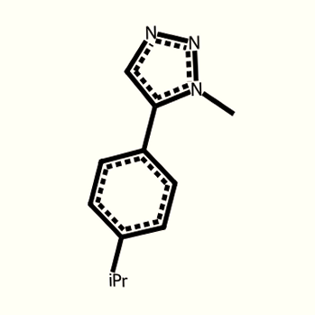 CC(C)c1ccc(-c2cnnn2C)cc1